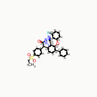 CCS(=O)(=O)c1ccc(C(C(N)=O)c2ccc(-c3ccccc3)c(Oc3cccc(F)c3)c2C#N)cc1